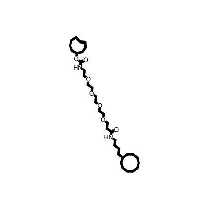 O=C(CCOCCOCCOCCOCCNC(=O)OC1CC/C=C/CCCC1)NCCCCC1CCCCCCCCC1